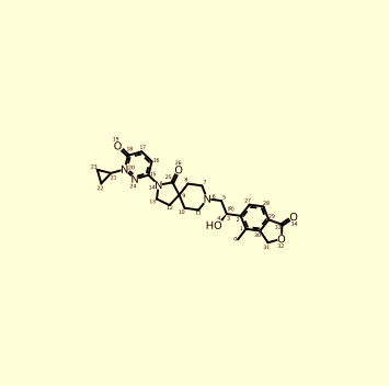 Cc1c([C@@H](O)CN2CCC3(CC2)CCN(c2ccc(=O)n(C4CC4)n2)C3=O)ccc2c1COC2=O